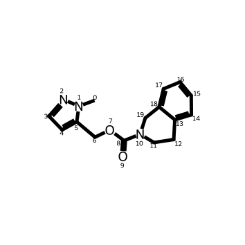 Cn1nccc1COC(=O)N1CCc2ccccc2C1